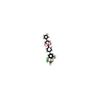 Fc1cc([C@H]2CC[C@H]([C@H]3OC[C@H](C4CCCC4)CO3)CC2)cc(F)c1OC(F)F